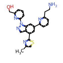 Cc1csc(-c2cc(-c3cccc(CCN)n3)cc3c2cnn3-c2cccc(CO)n2)n1